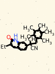 CCc1cc2ccc(C(C)(C#N)Cc3c(C)c(C)c(C)c(C)c3C)cc2[nH]c1=O